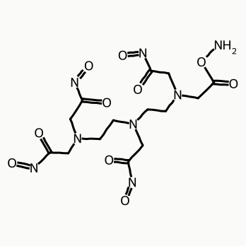 NOC(=O)CN(CCN(CCN(CC(=O)N=O)CC(=O)N=O)CC(=O)N=O)CC(=O)N=O